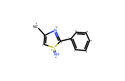 N#CC1=CS(=N)C(c2ccccc2)=N1